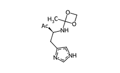 CC(=O)[C@H](Cc1c[nH]cn1)NC1(C)OCO1